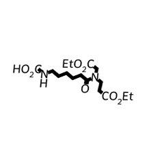 CCOC(=O)CCN(CC(=O)OCC)C(=O)CCCCCNC(=O)O